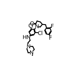 CN1CCN(CCNc2cc(Cl)c(N3CC(Cc4ccc(F)cc4F)CCC3=O)c(Cl)c2)CC1